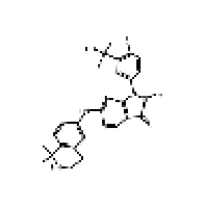 CC(C)n1c(=O)c2cnc(Nc3ccc4c(c3)CCNC4(C)C)nc2n1-c1ccc(F)c(C(C)(C)O)c1